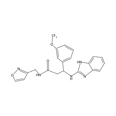 O=C(CC(Nc1nc2ccccc2[nH]1)c1cccc(OC(F)(F)F)c1)NCc1ccon1